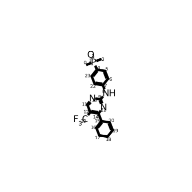 CP(C)(=O)c1ccc(Nc2ncc(C(F)(F)F)c(C3=CCCC=C3)n2)cc1